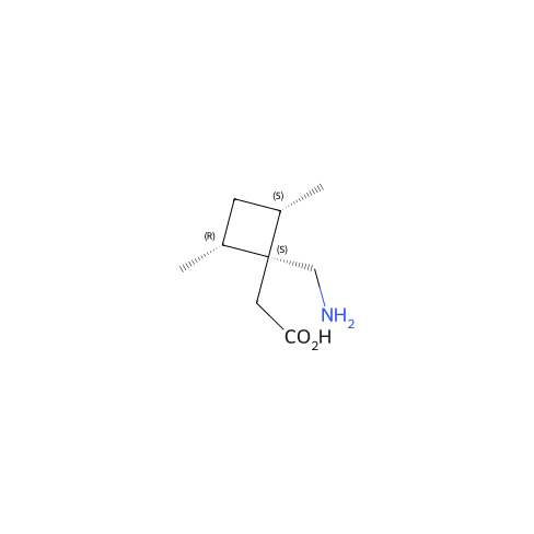 C[C@@H]1C[C@H](C)[C@@]1(CN)CC(=O)O